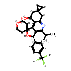 CC(C)c1nc2c(c3c1[C@@H](c1ccc(C(F)(F)F)cc1)OC31CCOCC1)C(O)CC1(CC1)C2